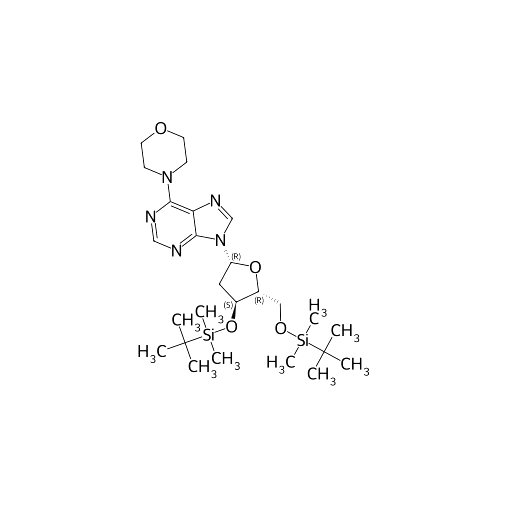 CC(C)(C)[Si](C)(C)OC[C@H]1O[C@@H](n2cnc3c(N4CCOCC4)ncnc32)C[C@@H]1O[Si](C)(C)C(C)(C)C